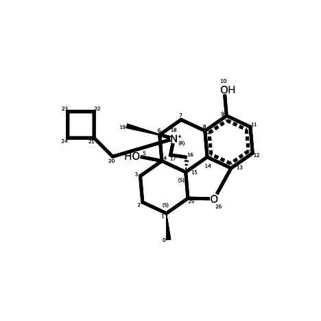 C[C@H]1CCC2(O)C3Cc4c(O)ccc5c4[C@@]2(CC[N@+]3(C)CC2CCC2)C1O5